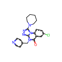 O=c1c2cc(Cl)ccc2n2c(N3CCCCCC3)nnc2n1Cc1ccncc1